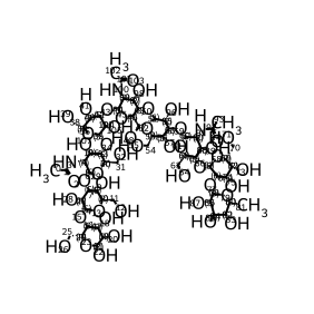 CC(=O)N[C@H]1[C@H](O[C@H]2[C@@H](O)[C@@H](CO)O[C@@H](O[C@H]3[C@H](O)[C@@H](O)[C@H](O)O[C@@H]3CO)[C@@H]2O)O[C@H](CO)[C@@H](O[C@@H]2O[C@H](CO)[C@H](O)[C@H](O[C@@H]3O[C@H](CO)[C@@H](O[C@@H]4O[C@H](CO)[C@H](O)[C@H](O[C@@H]5O[C@H](CO)[C@@H](O[C@@H]6O[C@H](CO)[C@H](O)[C@H](O)[C@H]6O[C@@H]6O[C@@H](C)[C@@H](O)[C@@H](O)[C@@H]6O)[C@H](O)[C@H]5NC(C)=O)[C@H]4O)[C@H](O)[C@H]3NC(C)=O)[C@H]2O)[C@@H]1O